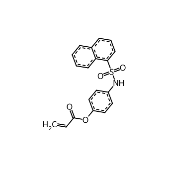 C=CC(=O)Oc1ccc(NS(=O)(=O)c2cccc3ccccc23)cc1